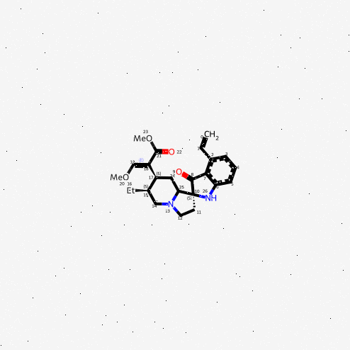 C=Cc1cccc2c1C(=O)[C@@]1(CCN3C[C@@H](CC)[C@@H](/C(=C\OC)C(=O)OC)CC31)N2